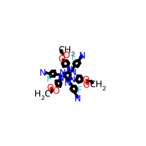 C=CC(=O)Oc1ccc(-n2c(-c3ccc(C#N)c(F)c3)nc3c2c2nc(-c4ccc(C#N)c(F)c4)n(-c4ccc(OC(=O)C=C)cc4)c2c2nc(-c4ccc(C#N)c(F)c4)n(-c4ccc(OC(=O)C=C)cc4)c32)cc1